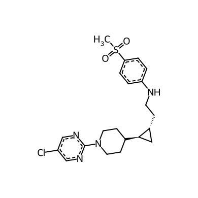 CS(=O)(=O)c1ccc(NCC[C@@H]2C[C@H]2C2CCN(c3ncc(Cl)cn3)CC2)cc1